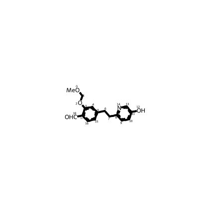 COCOc1cc(CCc2ccc(O)cn2)ccc1C=O